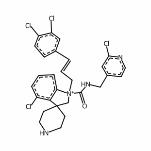 O=C(NCc1ccnc(Cl)c1)[N+]1(C/C=C/c2ccc(Cl)c(Cl)c2)CC2(CCNCC2)c2c(Cl)cccc21